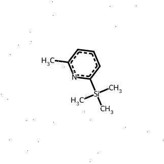 Cc1cccc([Si](C)(C)C)n1